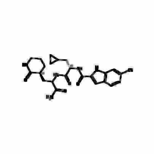 N#Cc1ccc2cc(C(=O)N[C@@H](CC3CC3)C(=O)NC(C[C@@H]3CCCNC3=O)C(N)=O)[nH]c2c1